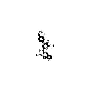 C=CC(=O)N(CC(=O)N[C@@H](Cc1ccsc1)B(O)O)c1ccc(CC)cc1